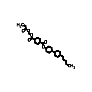 C=CC(=O)OCOC(=O)C1CCC(C(=O)OC2CCC(C3CCC(CCCCC)CC3)CC2)CC1